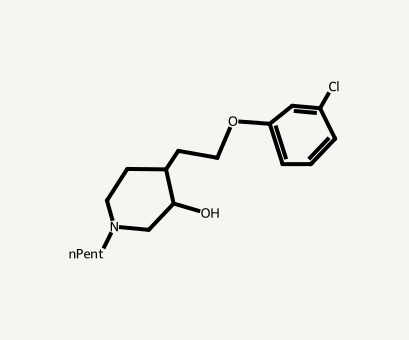 CCCCCN1CCC(CCOc2cccc(Cl)c2)C(O)C1